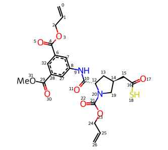 C=CCOC(=O)c1cc(NC(=O)[C@@H]2C[C@@H](CC(=O)S)CN2C(=O)OCC=C)cc(C(=O)OC)c1